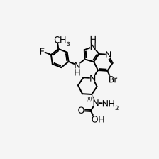 Cc1cc(Nc2c[nH]c3ncc(Br)c(N4CCC[C@@H](N(N)C(=O)O)C4)c23)ccc1F